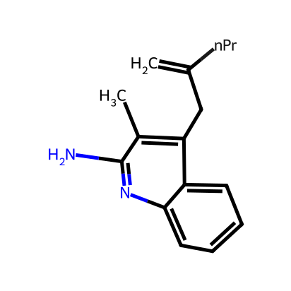 C=C(CCC)Cc1c(C)c(N)nc2ccccc12